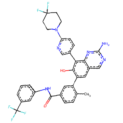 Cc1ccc(C(=O)Nc2cccc(C(F)(F)F)c2)cc1-c1cc2cnc(N)nc2c(-c2ccc(N3CCC(F)(F)CC3)nc2)c1O